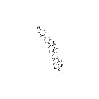 CCCC1CCC(c2ccc(-c3ccc(CCc4ccc(/C(F)=C(\F)C(F)(F)F)c(F)c4)c(F)c3F)cc2)CC1